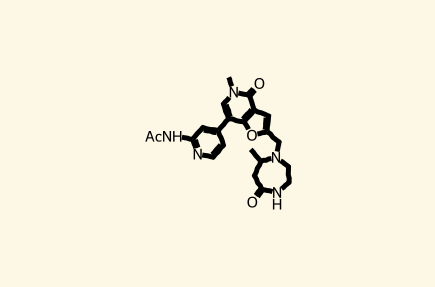 CC(=O)Nc1cc(-c2cn(C)c(=O)c3cc(CN4CCNC(=O)CC4C)oc23)ccn1